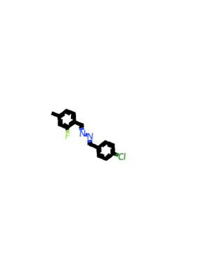 Cc1ccc(C=NN=Cc2ccc(Cl)cc2)c(F)c1